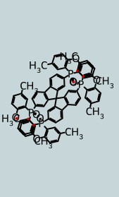 Cc1ccc2c(c1)P(=O)(c1ccc3c(c1)C1(c4cc(P5(=O)c6cc(C)ccc6Oc6ccc(C)cc65)ccc4-3)c3cc(P4(=O)c5cc(C)ccc5Oc5ccc(C)cc54)ccc3-c3ccc(P4(=O)c5cc(C)ccc5Oc5ccc(C)cc54)cc31)c1cc(C)ccc1O2